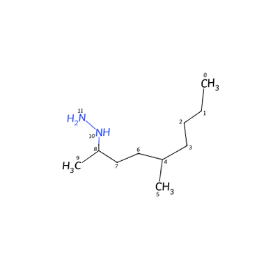 CCCCC(C)CCC(C)NN